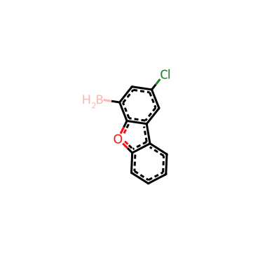 Bc1cc(Cl)cc2c1oc1ccccc12